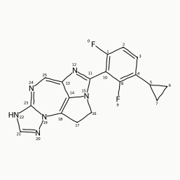 Fc1ccc(C2CC2)c(F)c1-c1nc2c3n1CCC=3N1N=CNC1=NC=2